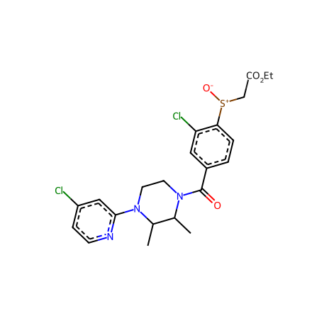 CCOC(=O)C[S+]([O-])c1ccc(C(=O)N2CCN(c3cc(Cl)ccn3)C(C)C2C)cc1Cl